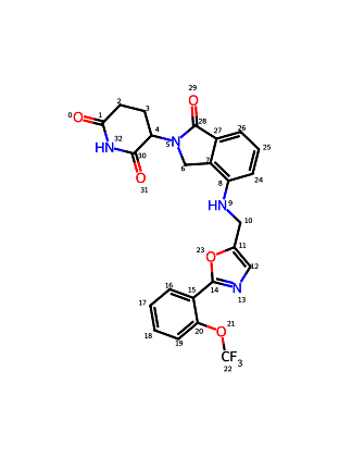 O=C1CCC(N2Cc3c(NCc4cnc(-c5ccccc5OC(F)(F)F)o4)cccc3C2=O)C(=O)N1